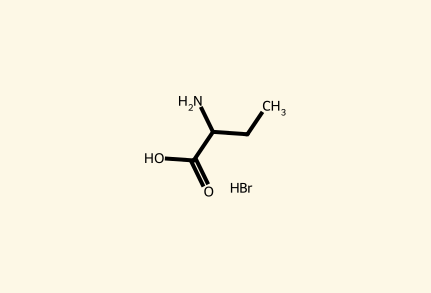 Br.CCC(N)C(=O)O